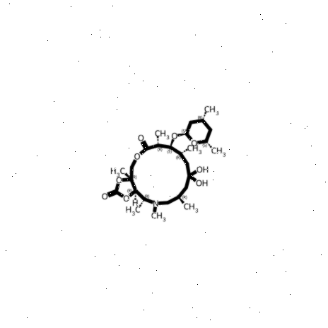 C[C@H]1C[C@H](O[C@H]2[C@H](C)CC(O)(O)C[C@@H](C)CN(C)[C@H](C)[C@H]3OC(=O)O[C@]3(C)COC(=O)[C@@H]2C)O[C@@H](C)C1